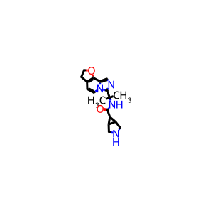 CC(C)(NC(=O)C1C2CNCC21)c1ncc2c3c(ccn12)CCO3